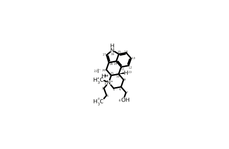 CCC[N+]1(C)CC(CO)C[C@H]2c3cccc4[nH]cc(c34)C[C@@H]21.[I-]